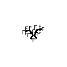 FCCC(F)(OC(F)(CCF)C(F)C(F)(F)F)C(F)C(F)(F)F